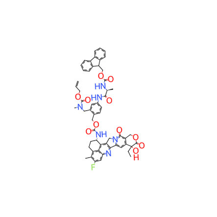 C=CCOC(=O)N(C)Cc1cc(NC(=O)[C@H](C)NC(=O)OCC2c3ccccc3-c3ccccc32)ccc1COC(=O)N[C@H]1CCc2c(C)c(F)cc3nc4c(c1c23)Cn1c-4cc2c(c1=O)COC(=O)[C@]2(O)CC